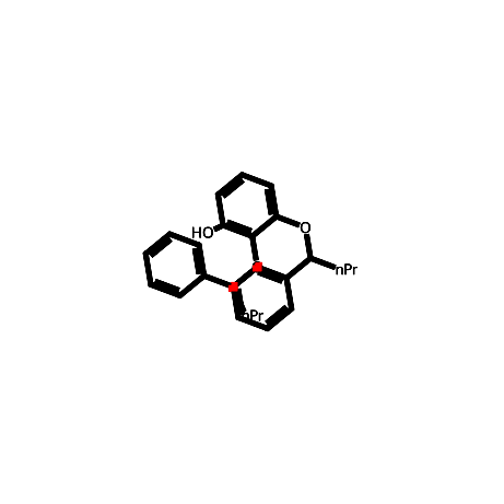 CCCC(Oc1cccc(O)c1OC(CCC)c1ccccc1)c1ccccc1